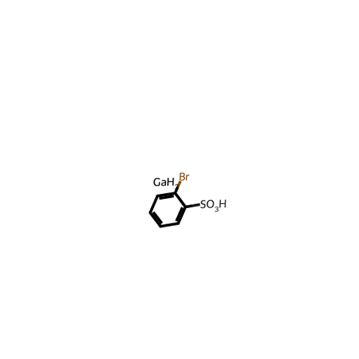 O=S(=O)(O)c1ccccc1Br.[GaH3]